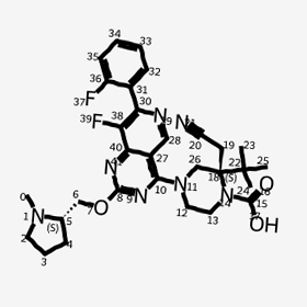 CN1CCC[C@H]1COc1nc(N2CCN(C(=O)O)[C@@](CC#N)(C(C)(C)C)C2)c2cnc(-c3ccccc3F)c(F)c2n1